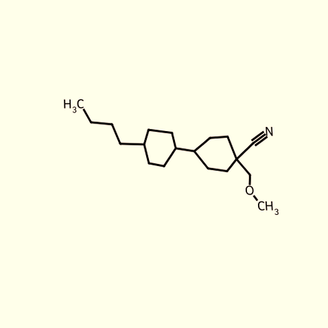 CCCCC1CCC(C2CCC(C#N)(COC)CC2)CC1